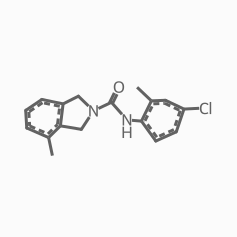 Cc1cc(Cl)ccc1NC(=O)N1Cc2cccc(C)c2C1